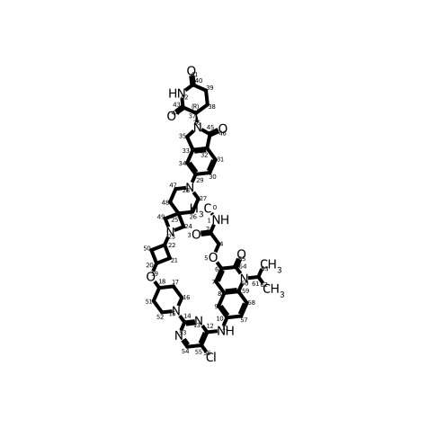 CNC(=O)COc1cc2cc(Nc3nc(N4CCC(OC5CC(N6CC7(CCN(c8ccc9c(c8)CN([C@@H]8CCC(=O)NC8=O)C9=O)CC7)C6)C5)CC4)ncc3Cl)ccc2n(C(C)C)c1=O